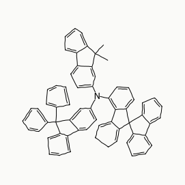 CC1(C)c2ccccc2-c2ccc(N(c3ccc4c(c3)C(c3ccccc3)(c3ccccc3)c3ccccc3-4)c3cccc4c3C3=CCCC=C3C43c4ccccc4-c4ccccc43)cc21